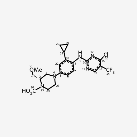 COC[C@@H]1CN(c2ccc(Nc3ncc(C(F)(F)F)c(Cl)n3)c(C3CC3)c2)CCN1C(=O)O